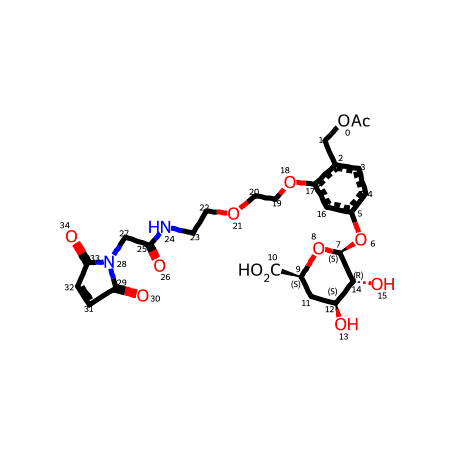 CC(=O)OCc1ccc(O[C@@H]2O[C@H](C(=O)O)C[C@H](O)[C@H]2O)cc1OCCOCCNC(=O)CN1C(=O)C=CC1=O